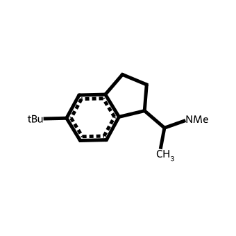 CNC(C)C1CCc2cc(C(C)(C)C)ccc21